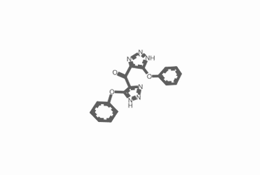 O=C(c1nn[nH]c1Oc1ccccc1)c1nn[nH]c1Oc1ccccc1